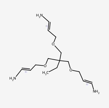 CCC(COC/C=C/N)(COC/C=C/N)COC/C=C/N